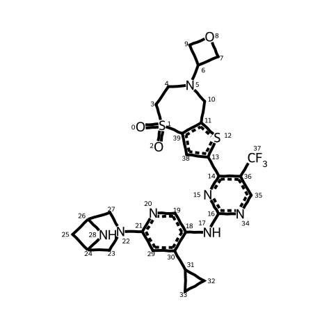 O=S1(=O)CCN(C2COC2)Cc2sc(-c3nc(Nc4cnc(N5CC6CC(C5)N6)cc4C4CC4)ncc3C(F)(F)F)cc21